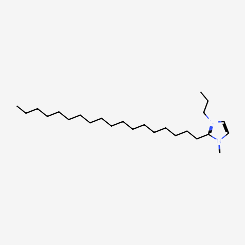 CCCCCCCCCCCCCCCCCCc1n(C)cc[n+]1CCC